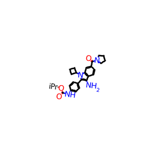 CC(C)OC(=O)Nc1ccc(-c2c(N)c3ccc(C(=O)N4CCCC4)cc3n2C2CCC2)cc1